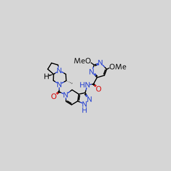 COc1cc(C(=O)Nc2n[nH]c3c2CN(C(=O)N2C[C@@H]4CCCN4C[C@@H]2C)C=C3)nc(OC)n1